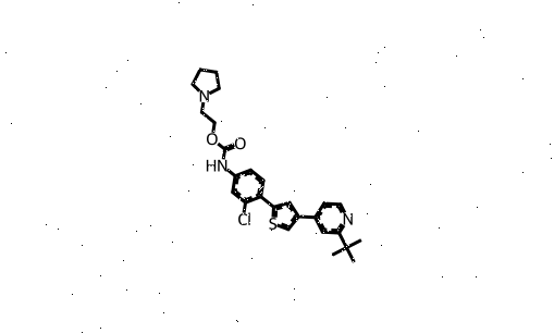 CC(C)(C)c1cc(-c2csc(-c3ccc(NC(=O)OCCN4CCCC4)cc3Cl)c2)ccn1